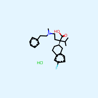 CC(C)C(CCN(C)CCc1ccccc1)(C(=O)O)[C@@H]1CCc2cc(F)ccc2C1.Cl